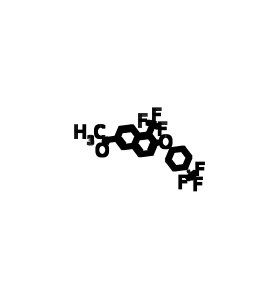 CC(=O)c1ccc2c(C(F)(F)F)c(O[C@H]3CC[C@@H](C(F)(F)F)CC3)ccc2c1